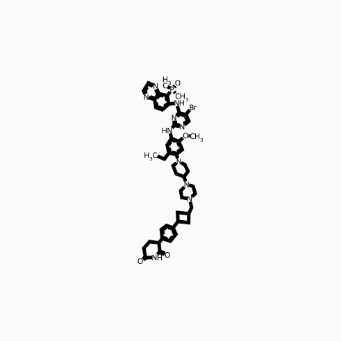 CCc1cc(Nc2ncc(Br)c(Nc3ccc4nccnc4c3P(C)(C)=O)n2)c(OC)cc1N1CCC(N2CCN(CC3CC(c4ccc(C5CCC(=O)NC5=O)cc4)C3)CC2)CC1